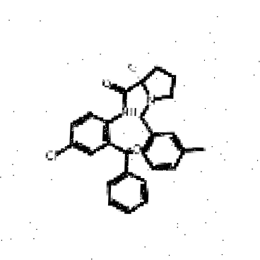 Cc1cccc(CN2CCC[C@]2(C)C(=O)Nc2ccc(Cl)cc2C(=O)c2ccccc2)c1